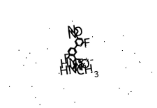 CN1C(=N)NC(c2cc(-c3cc(F)cc(-c4nnco4)c3)ccc2F)C[S+]1[O-]